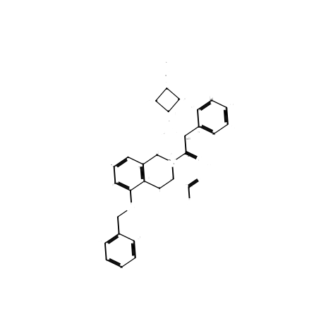 O=C(O)[C@@H]1Cc2c(cccc2OCc2ccccc2)CN1C(=O)[C@H](O[C@H]1C[C@@H](O)C1)c1ccccc1